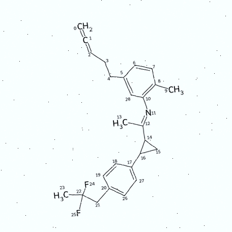 C=C=CCCc1ccc(C)c(/N=C(\C)C2CC2c2ccc(CC(C)(F)F)cc2)c1